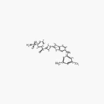 Cc1cc(C)cc(Nc2ncc3c(n2)CN(C2CN(C(=O)c4cccc(S(N)(=O)=O)c4)C2)C3)c1